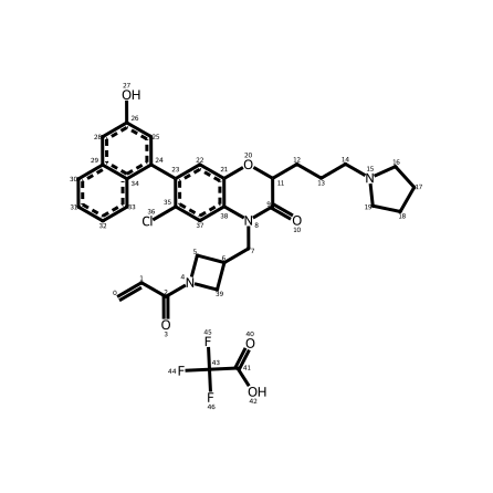 C=CC(=O)N1CC(CN2C(=O)C(CCCN3CCCC3)Oc3cc(-c4cc(O)cc5ccccc45)c(Cl)cc32)C1.O=C(O)C(F)(F)F